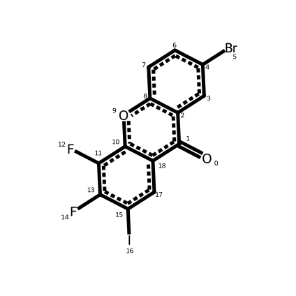 O=c1c2cc(Br)ccc2oc2c(F)c(F)c(I)cc12